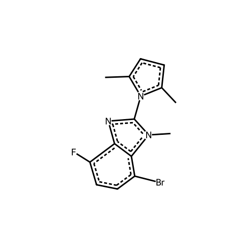 Cc1ccc(C)n1-c1nc2c(F)ccc(Br)c2n1C